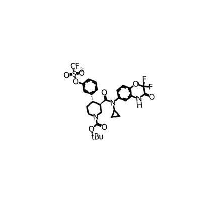 CC(C)(C)OC(=O)N1CC[C@H](c2cccc(OS(=O)(=O)C(F)(F)F)c2)[C@@H](C(=O)N(c2ccc3c(c2)NC(=O)C(F)(F)O3)C2CC2)C1